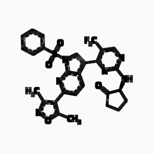 Cc1noc(C)c1-c1ccc2c(-c3nc(N[C@H]4CCCC4=O)ncc3C(F)(F)F)cn(S(=O)(=O)c3ccccc3)c2n1